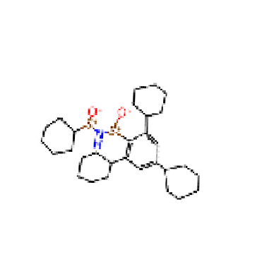 [O-][S+](N[S+]([O-])C1CCCCC1)c1c(C2CCCCC2)cc(C2CCCCC2)cc1C1CCCCC1